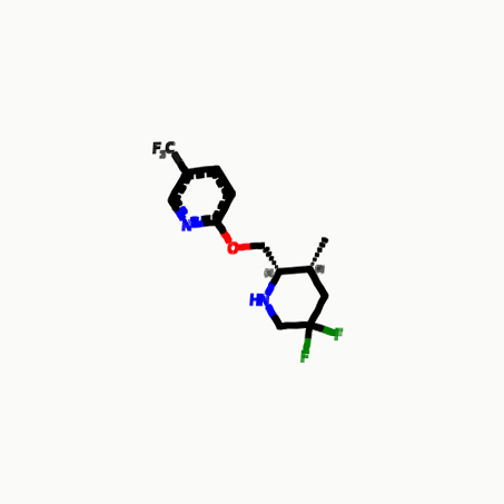 C[C@@H]1CC(F)(F)CN[C@@H]1COc1ccc(C(F)(F)F)cn1